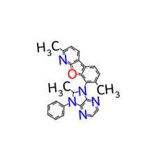 Cc1ccc2c(n1)oc1c(N3c4nccnc4N(c4ccccc4)C3C)c(C)ccc12